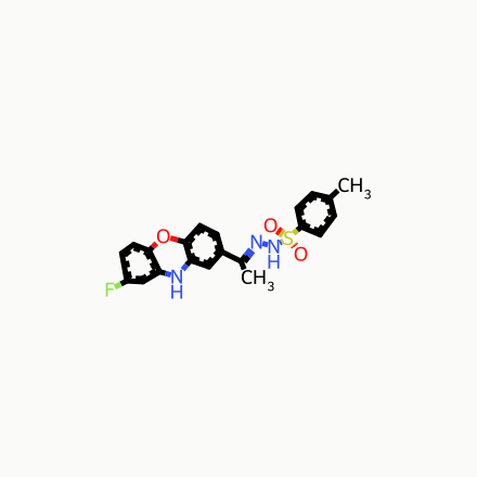 C/C(=N\NS(=O)(=O)c1ccc(C)cc1)c1ccc2c(c1)Nc1cc(F)ccc1O2